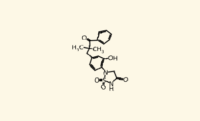 CC(C)(Cc1ccc(N2CC(=O)NS2(=O)=O)c(O)c1)C(=O)c1ccccc1